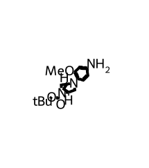 COc1cc(N)ccc1N1C[C@@H]2C[C@H]1CN2C(=O)OC(C)(C)C